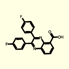 O=C(O)c1cccc2nc(-c3ccc(F)cc3)c(-c3ccc(F)cc3)nc12